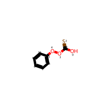 OC(=S)OOc1ccccc1